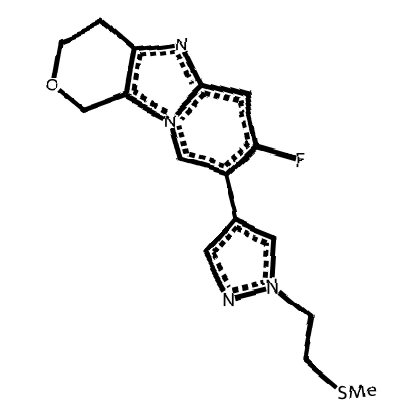 CSCCn1cc(-c2cn3c4c(nc3cc2F)CCOC4)cn1